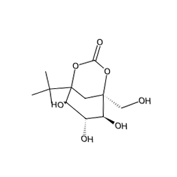 CC(C)(C)C12C[C@@](CO)(OC(=O)O1)[C@@H](O)[C@H](O)[C@H]2O